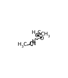 CCc1cnn(CCS(=O)(=O)C(C)C)c1